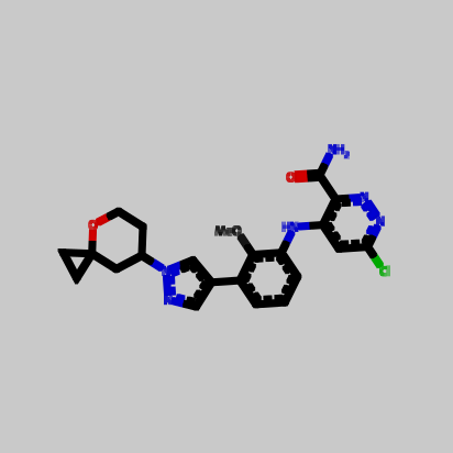 COc1c(Nc2cc(Cl)nnc2C(N)=O)cccc1-c1cnn(C2CCOC3(CC3)C2)c1